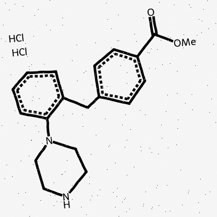 COC(=O)c1ccc(Cc2ccccc2N2CCNCC2)cc1.Cl.Cl